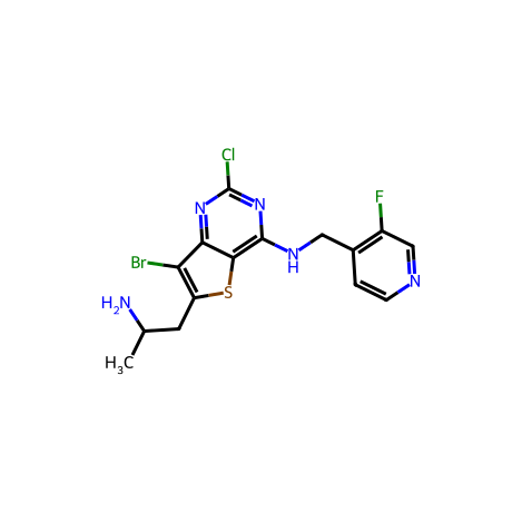 CC(N)Cc1sc2c(NCc3ccncc3F)nc(Cl)nc2c1Br